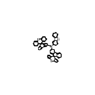 c1ccc2c(c1)Oc1ccccc1C21c2ccccc2-c2cc(N(c3ccc4c(c3)-c3ccccc3C43c4ccccc4Sc4ccccc43)c3ccc4oc5ccccc5c4c3)ccc21